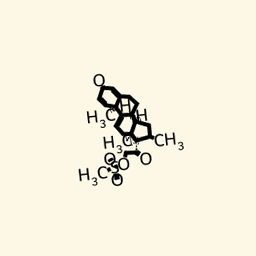 CC1C[C@H]2[C@@H]3CCC4=CC(=O)C=C[C@]4(C)C3=CC[C@]2(C)[C@H]1C(=O)COS(C)(=O)=O